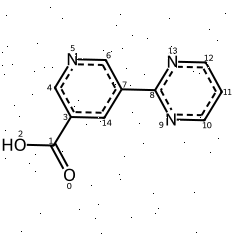 O=C(O)c1cncc(-c2ncccn2)c1